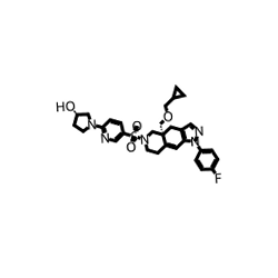 O=S(=O)(c1ccc(N2CC[C@H](O)C2)nc1)N1CCC2=Cc3c(cnn3-c3ccc(F)cc3)C[C@]2(COCC2CC2)C1